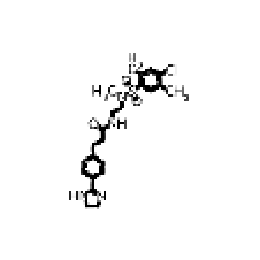 Cc1cc(S(=O)(=O)N(C)CCNC(=O)CCc2ccc(C3=NCCN3)cc2)c(C)cc1Cl